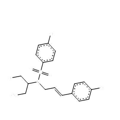 CC(C)CC(CO)N(CC=Cc1ccc(Cl)cc1)S(=O)(=O)c1ccc(Cl)cc1